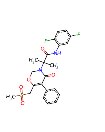 CC(C)(C(=O)Nc1cc(F)ccc1F)N1COC(CS(C)(=O)=O)=C(c2ccccc2)C1=O